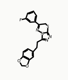 Fc1cccc(C2=Nn3c(CCc4ccc5c(c4)OCO5)nnc3SC2)c1